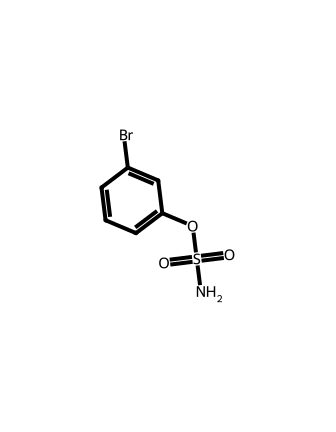 NS(=O)(=O)Oc1cccc(Br)c1